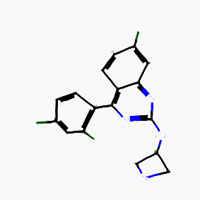 Fc1ccc(-c2nc(NC3CNC3)nc3cc(F)ccc23)c(F)c1